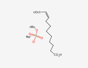 CCCCCCCC/C=C\CCCCCCCC(=O)O.CCCCOS(=O)(=O)[O-].[Na+]